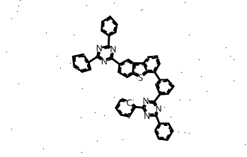 c1ccc(-c2nc(-c3ccccc3)nc(-c3cccc(-c4cccc5c4sc4ccc(-c6nc(-c7ccccc7)nc(-c7ccccc7)n6)cc45)c3)n2)cc1